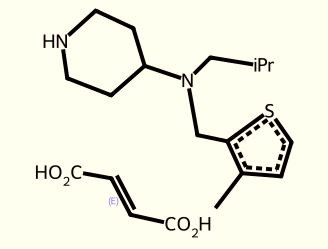 Cc1ccsc1CN(CC(C)C)C1CCNCC1.O=C(O)/C=C/C(=O)O